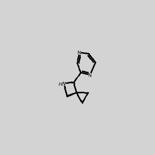 c1cnc(C2NCC23CC3)cn1